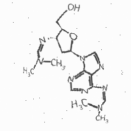 CN(C)/C=N\c1ncnc2c1ncn2[C@H]1C[C@H](/N=C\N(C)C)[C@@H](CO)O1